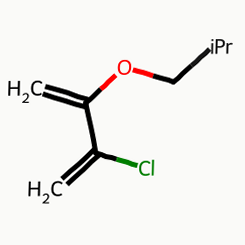 C=C(Cl)C(=C)OCC(C)C